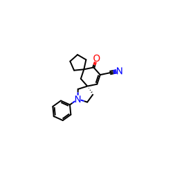 N#CC1=C[C@]2(CCN(c3ccccc3)C2)CC2(CCCC2)C1=O